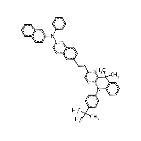 CC(C)(C)c1ccc(N2c3ccccc3C(C)(C)c3cc(/C=C/c4ccc5cc(N(c6ccccc6)c6ccc7ccccc7c6)ccc5c4)ccc32)cc1